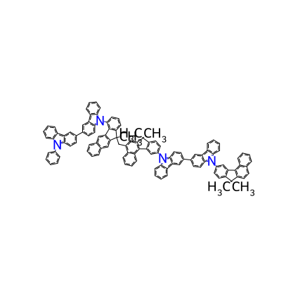 CC1(C)c2ccc(-n3c4ccccc4c4cc(-c5ccc6c(c5)c5ccccc5n6-c5ccc6c(c5)-c5c(cc(CC7(C)c8cc9ccccc9cc8-c8c(-n9c%10ccccc%10c%10cc(-c%11ccc%12c(c%11)c%11ccccc%11n%12-c%11ccccc%11)ccc%109)cccc87)c7ccccc57)C6(C)C)ccc43)cc2-c2c1ccc1ccccc21